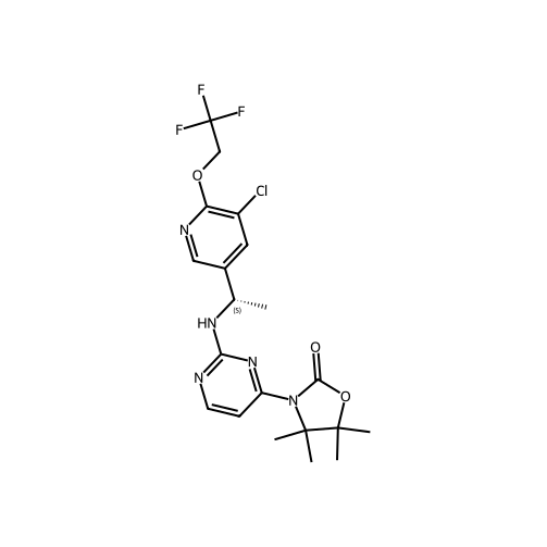 C[C@H](Nc1nccc(N2C(=O)OC(C)(C)C2(C)C)n1)c1cnc(OCC(F)(F)F)c(Cl)c1